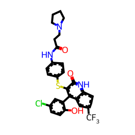 O=C(CCN1CCCC1)Nc1ccc(Sc2c(-c3cc(Cl)ccc3O)c3cc(C(F)(F)F)ccc3[nH]c2=O)cc1